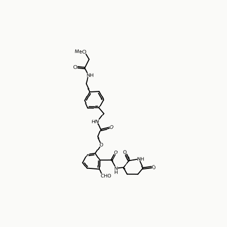 COCC(=O)NCc1ccc(CNC(=O)COc2cccc(C=O)c2C(=O)NC2CCC(=O)NC2=O)cc1